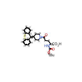 CC(C)(C)OC(=O)N[C@@H](CCC(=O)N1CCC(=C2c3ccccc3Sc3ccccc32)CC1)C(=O)O